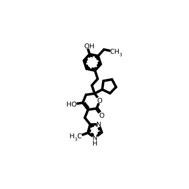 CCc1cc(CCC2(C3CCCC3)CC(O)=C(Cc3nc[nH]c3C)C(=O)O2)ccc1O